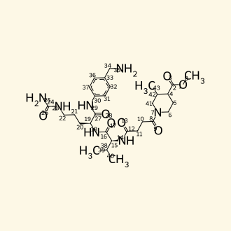 COC(=O)C1CCN(C(=O)CCC(=O)N[C@H](C(=O)N[C@@H](CCCNC(N)=O)C(=O)Nc2ccc(CN)cc2)C(C)C)CC1C